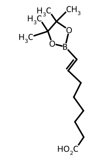 CC1(C)OB(/C=C/CCCCCC(=O)O)OC1(C)C